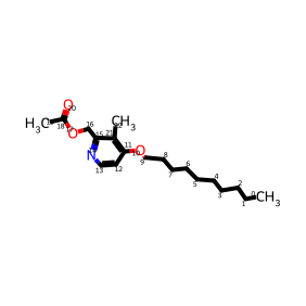 CCCCCCCCCCOc1ccnc(COC(C)=O)c1C